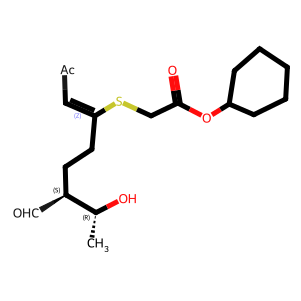 CC(=O)/C=C(/CC[C@H](C=O)[C@@H](C)O)SCC(=O)OC1CCCCC1